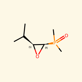 CC(C)[C@@H]1O[C@@H]1P(C)(C)=O